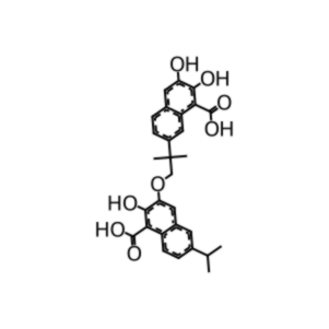 CC(C)c1ccc2c(C(=O)O)c(O)c(OCC(C)(C)c3ccc4cc(O)c(O)c(C(=O)O)c4c3)cc2c1